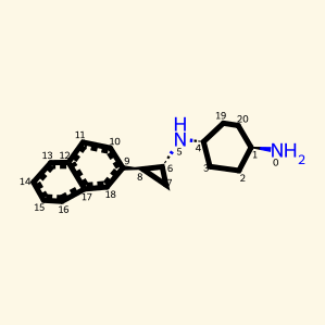 N[C@H]1CC[C@H](N[C@@H]2C[C@H]2c2ccc3ccccc3c2)CC1